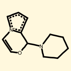 C1=Cn2cccc2C(N2CCCCC2)O1